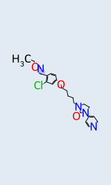 CCO/N=C/c1ccc(OCCCCCN2CCN(c3ccncc3)C2=O)cc1Cl